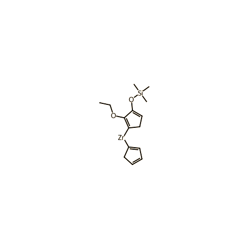 CCOC1=[C]([Zr][C]2=CC=CC2)CC=C1O[Si](C)(C)C